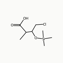 CC(C(=O)O)C(CCl)O[Si](C)(C)C